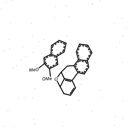 C1=CC2=C3C(C1)OC3Cc1c2ccc2ccccc12.COc1cc2ccccc2cc1OC